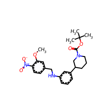 COc1cc(CNc2cccc(C3CCCN(C(=O)OC(C)(C)C)C3)c2)ccc1[N+](=O)[O-]